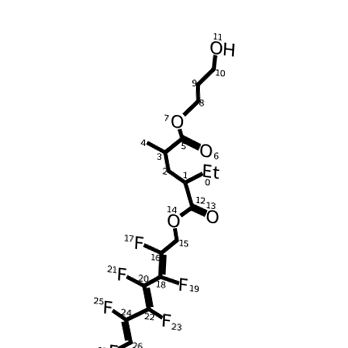 CCC(CC(C)C(=O)OCCCO)C(=O)OC/C(F)=C(F)/C(F)=C(F)/C(F)=C/F